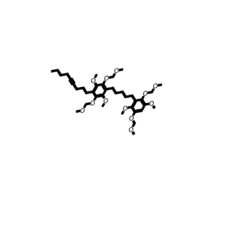 CCCCC#CCCCc1c(OC)c(OCOC)c(CCCCCc2c(OC)c(OCOC)cc(OC)c2OCOC)c(OC)c1OCOC